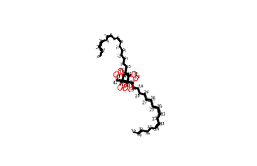 CC/C=C\C/C=C\C/C=C\CCCCCCCC(=O)C(O)(C(=O)CCCCCCC/C=C\C/C=C\CCCCC)C(O)(CO)C(C)=O